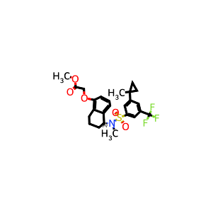 COC(=O)COc1cccc2c1CCC[C@H]2N(C)S(=O)(=O)c1cc(C(F)(F)F)cc(C2(C)CC2)c1